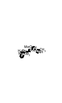 COc1cnc(N2CCN[C@@H](C)C2)nc1N1CC(C(=O)NC(C)(C)c2cnc3ccccn23)C1